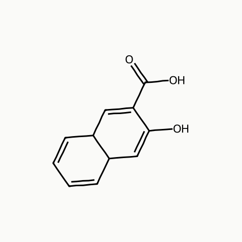 O=C(O)C1=CC2C=CC=CC2C=C1O